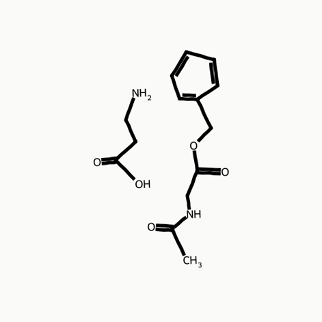 CC(=O)NCC(=O)OCc1ccccc1.NCCC(=O)O